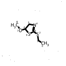 CCSC1=NCC(OC)S1